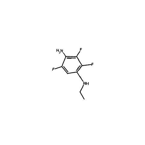 CCNc1cc(F)c(N)c(F)c1F